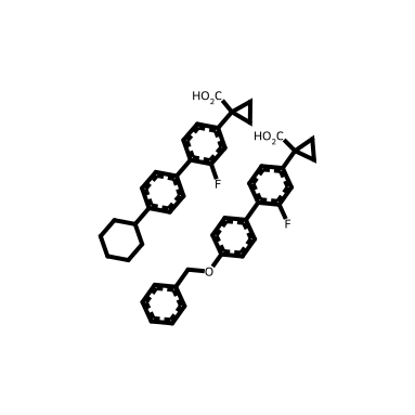 O=C(O)C1(c2ccc(-c3ccc(C4CCCCC4)cc3)c(F)c2)CC1.O=C(O)C1(c2ccc(-c3ccc(OCc4ccccc4)cc3)c(F)c2)CC1